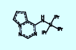 CC(C)[Si](Nc1ncnn2cccc12)(C(C)C)C(C)C